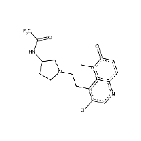 Cn1c(=O)ccc2ncc(Cl)c(CCN3CCC(NC(=O)C(F)(F)F)C3)c21